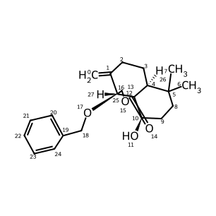 C=C1CC[C@H]2C(C)(C)CC[C@@H](O)C23C(=O)O[C@H](OCc2ccccc2)[C@@H]13